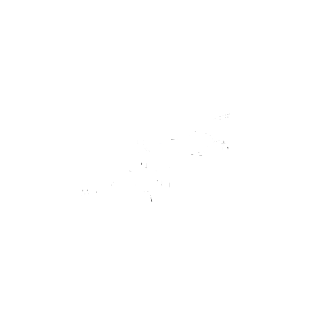 COc1cccc([C@H](C)NC2=NC(=O)/C(=C/c3ccc4ncccc4c3)S2)c1